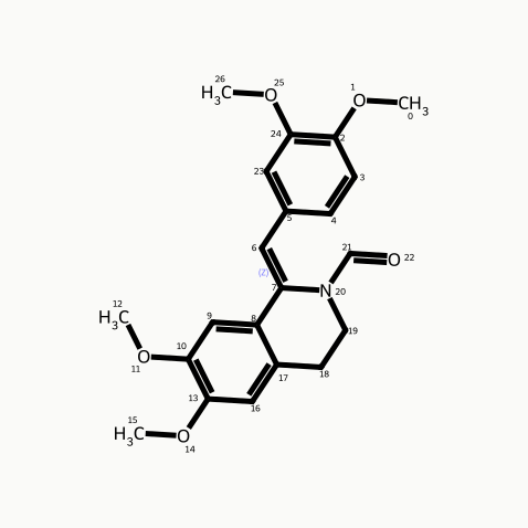 COc1ccc(/C=C2/c3cc(OC)c(OC)cc3CCN2C=O)cc1OC